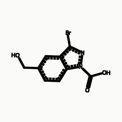 O=C(O)n1nc(Br)c2cc(CO)ccc21